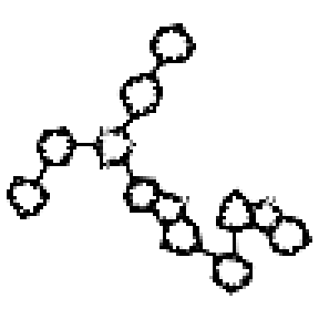 c1ccc(-c2ccc(-c3nc(-c4cccc(-c5ccccc5)c4)nc(-c4ccc5c(c4)oc4cc(-c6ccccc6-c6cccc7oc8ccccc8c67)ccc45)n3)cc2)cc1